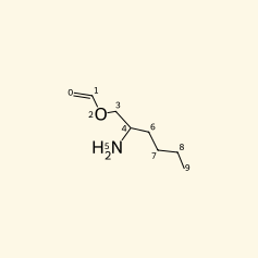 C=COCC(N)CCCC